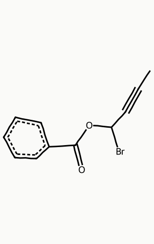 CC#CC(Br)OC(=O)c1ccccc1